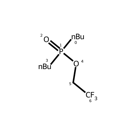 CCCCP(=O)(CCCC)OCC(F)(F)F